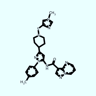 Cc1ccc(-n2nc(C3CCN(Sc4cn(C)cn4)CC3)cc2NC(=O)c2cnn3cccnc23)cc1